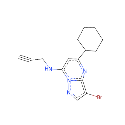 C#CCNc1cc(C2CCCCC2)nc2c(Br)cnn12